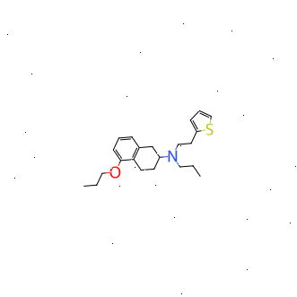 CCCOc1cccc2c1CCC(N(CCC)CCc1cccs1)C2